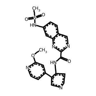 COc1cc(-c2cnccc2NC(=O)c2ncc3ccc(NS(C)(=O)=O)cc3n2)ccn1